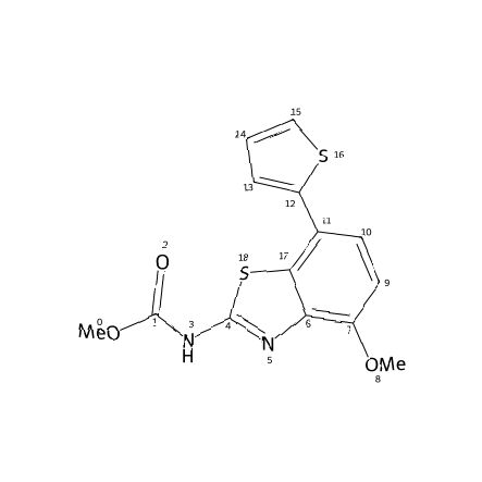 COC(=O)Nc1nc2c(OC)ccc(-c3cccs3)c2s1